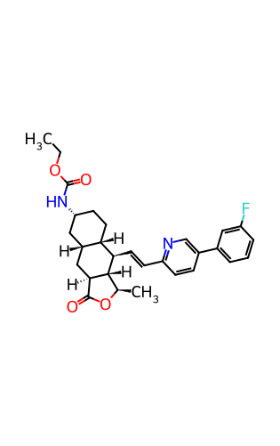 CCOC(=O)N[C@@H]1CC[C@H]2[C@@H](C1)C[C@@H]1C(=O)O[C@H](C)[C@H]1[C@@H]2/C=C/c1ccc(-c2cccc(F)c2)cn1